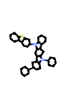 c1ccc(-c2ccc3c(c2)c2cc4c(cc2n3-c2ccccc2)c2ccccc2n4-c2ccc3c(c2)sc2ccccc23)cc1